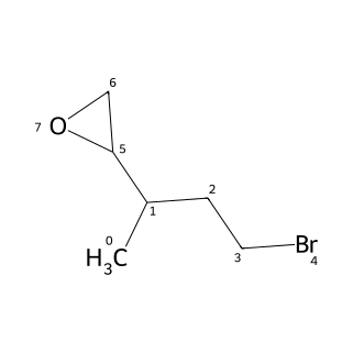 CC(CCBr)C1CO1